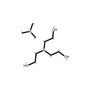 CN(C)C.OCCN(CCO)CCO